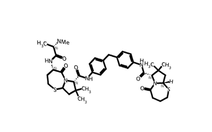 CN[C@@H](C)C(=O)N[C@H]1CCSC2CC(C)(C)[C@@H](C(=O)Nc3ccc(Cc4ccc(NC(=O)[C@H]5N6C(=O)CCCS[C@H]6CC5(C)C)cc4)cc3)N2C1=O